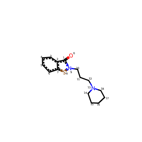 O=c1c2ccccc2sn1CCCN1CCCCC1